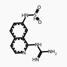 N=C(N)Nc1nccc2ccc(N[SH](=O)=O)cc12